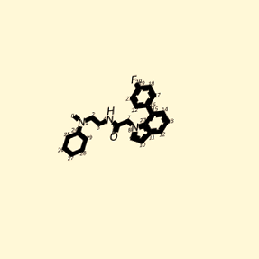 CN(CCNC(=O)Cn1ccc2cccc(-c3ccc(F)cc3)c21)C1CCCCC1